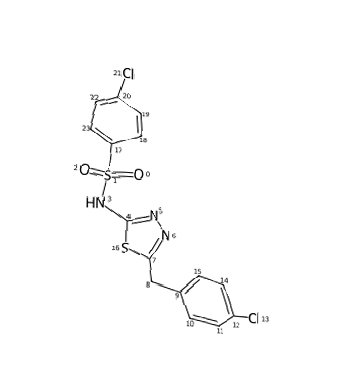 O=S(=O)(Nc1nnc(Cc2ccc(Cl)cc2)s1)c1ccc(Cl)cc1